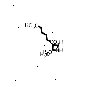 C1CNC1.O.O.O=C(O)CCCCC(=O)O